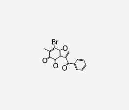 CC1=C(Br)c2occ(C(=O)c3ccccc3)c2C(=O)C1=O